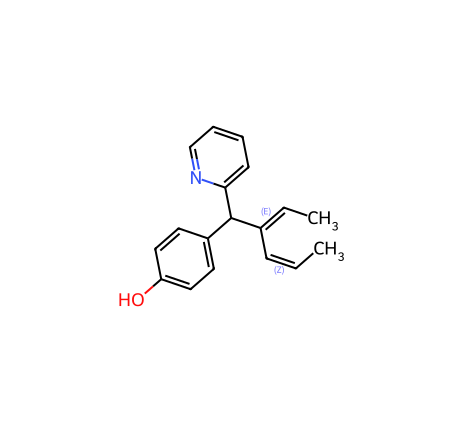 C/C=C\C(=C/C)C(c1ccc(O)cc1)c1ccccn1